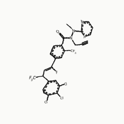 C#CCN(C(=O)c1ccc(C(F)=CC(c2cc(Cl)c(Cl)c(Cl)c2)C(F)(F)F)cc1C(F)(F)F)N(C)c1ncccn1